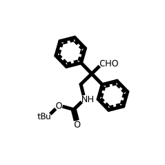 CC(C)(C)OC(=O)NCC(C=O)(c1ccccc1)c1ccccc1